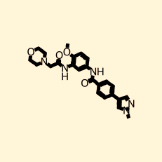 COc1ccc(NC(=O)c2ccc(-c3cnn(C)c3)cc2)cc1NC(=O)CN1CCOCC1